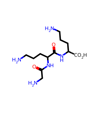 NCCCC(NC(=O)C(CCCN)NC(=O)CN)C(=O)O